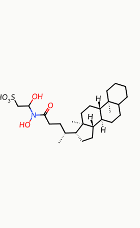 C[C@H](CCC(=O)N(O)C(O)CS(=O)(=O)O)[C@H]1CC[C@H]2[C@@H]3CCC4CCCC[C@]4(C)[C@H]3CC[C@]12C